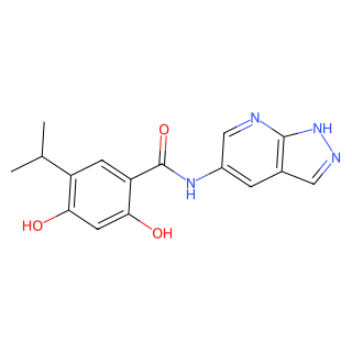 CC(C)c1cc(C(=O)Nc2cnc3[nH]ncc3c2)c(O)cc1O